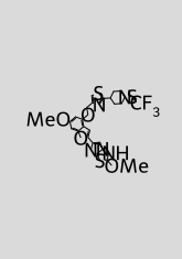 COc1cc(OCc2csc(C3CCN(SC(F)(F)F)CC3)n2)c2cc(-c3cn4c(n3)SC(OC)N4)oc2c1